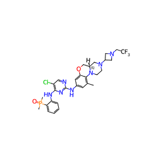 Cc1cc(Nc2ncc(Cl)c(Nc3ccccc3P(C)(C)=O)n2)cc2c1N1CCN(C3CN(CC(F)(F)F)C3)C[C@H]1CO2